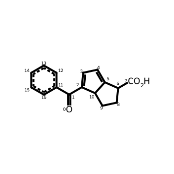 O=C(C1=CC=C2C(C(=O)O)CCC12)c1ccccc1